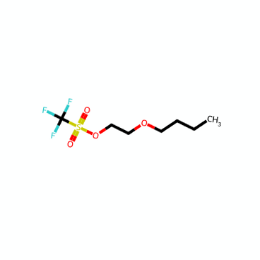 CCCCOCCOS(=O)(=O)C(F)(F)F